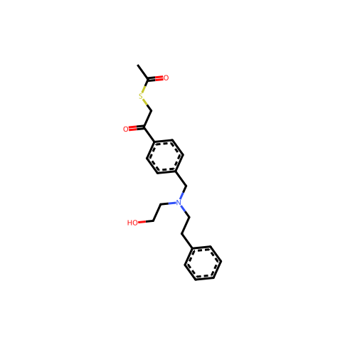 CC(=O)SCC(=O)c1ccc(CN(CCO)CCc2ccccc2)cc1